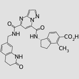 Cc1c(C(=O)O)ccc2c1CC[C@@H]2NC(=O)c1cc(C(=O)NCc2ccc3c(c2)NC(=O)CC3)nc2ccnn12